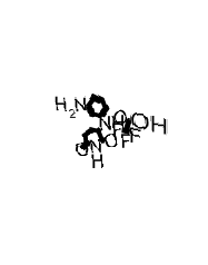 Nc1cccc(NC2CCC(=O)NC2=O)c1.O=C(O)C(F)(F)F